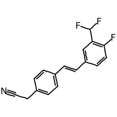 N#CCc1ccc(/C=C/c2ccc(F)c(C(F)F)c2)cc1